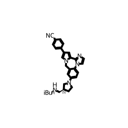 CC[C@@H](C)NC[C@@H]1CCN(c2ccc3c(c2)Cn2cc(-c4ccc(C#N)cc4)cc2-c2nccn2-3)C1